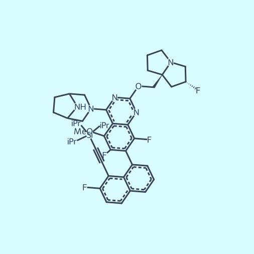 COc1c(F)c(-c2cccc3ccc(F)c(C#C[Si](C(C)C)(C(C)C)C(C)C)c23)c(F)c2nc(OC[C@@]34CCCN3C[C@H](F)C4)nc(N3CC4CCC(C3)N4)c12